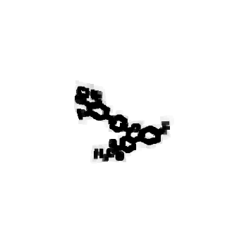 COc1c(F)cc(N2CCN(C(=O)c3cc(S(C)(=O)=O)ccc3-c3ccc(F)cc3)CC2)cc1F